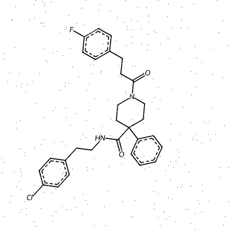 O=C(CCc1ccc(F)cc1)N1CCC(C(=O)NCCc2ccc(Cl)cc2)(c2ccccc2)CC1